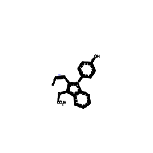 C/C=C\c1c(OC(=O)O)c2ccccc2n1-c1ccc(O)cc1